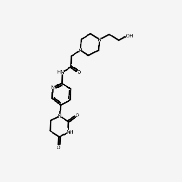 O=C1CCN(c2ccc(NC(=O)CN3CCN(CCO)CC3)nc2)C(=O)N1